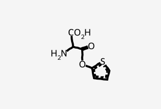 NC(C(=O)O)C(=O)Oc1cccs1